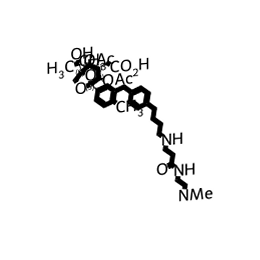 CNCCNC(=O)CCNCCCCc1ccc(Cc2cc([C@]34OC[C@](C(C)(C)O)(O3)[C@@H](OC(C)=O)[C@H](CC(=O)O)[C@H]4OC(C)=O)ccc2C)cc1